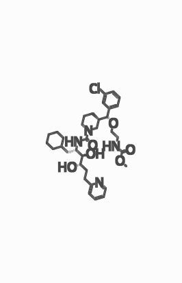 COC(=O)NCCO[C@@H](c1cccc(Cl)c1)[C@@H]1CCCN(C(=O)N[C@@H](CC2CCCCC2)[C@@H](O)[C@@H](O)CCc2ccccn2)C1